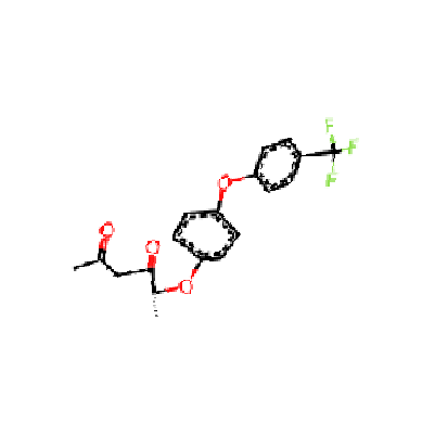 CC(=O)CC(=O)[C@@H](C)Oc1ccc(Oc2ccc(C(F)(F)F)cc2)cc1